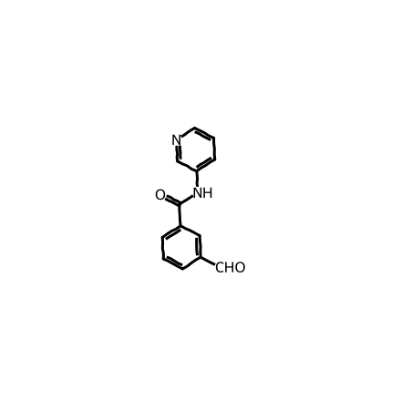 O=Cc1cccc(C(=O)Nc2cccnc2)c1